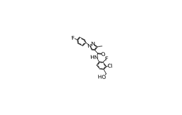 Cc1nn(-c2ccc(F)cc2)cc1C(=O)Nc1ccc(CO)c(Cl)c1F